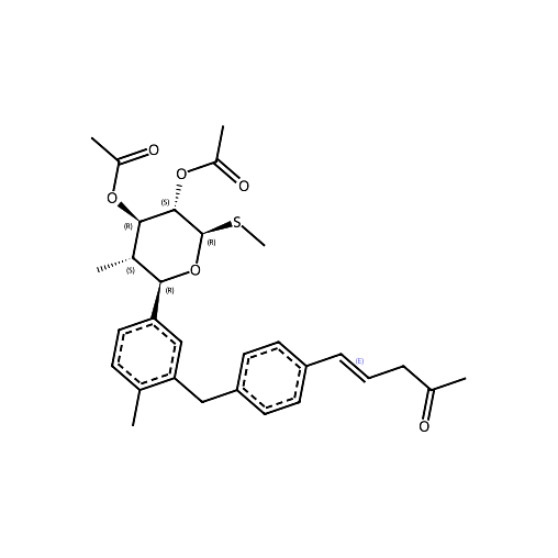 CS[C@H]1O[C@@H](c2ccc(C)c(Cc3ccc(/C=C/CC(C)=O)cc3)c2)[C@H](C)[C@@H](OC(C)=O)[C@@H]1OC(C)=O